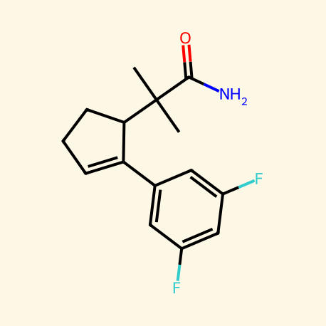 CC(C)(C(N)=O)C1CCC=C1c1cc(F)cc(F)c1